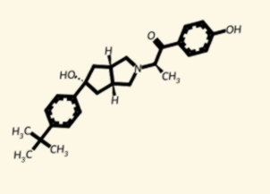 C[C@H](C(=O)c1ccc(O)cc1)N1C[C@@H]2C[C@@](O)(c3ccc(C(C)(C)C)cc3)C[C@@H]2C1